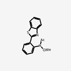 CON(C(C)=O)c1ccccc1-c1nc2ccccc2s1